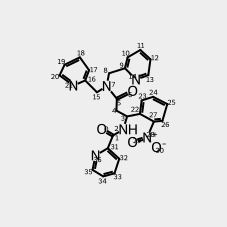 O=C(NC(CC(=O)N(Cc1ccccn1)Cc1ccccn1)c1ccccc1[N+](=O)[O-])c1ccccn1